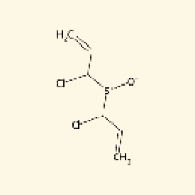 C=CC(Cl)[S+]([O-])C(Cl)C=C